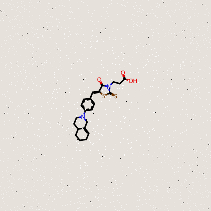 O=C(O)CCN1C(=O)C(=Cc2ccc(N3CCC4CCCC=C4C3)cc2)SC1=S